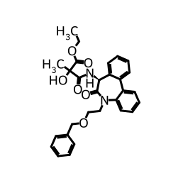 CCOC(=O)C(C)(O)C(=O)N[C@@H]1C(=O)N(CCOCc2ccccc2)c2ccccc2-c2ccccc21